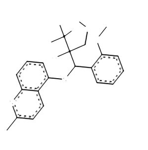 COc1ccccc1C(Nc1cccc2nc(C)ccc12)C(O)(CSC)C(F)(F)F